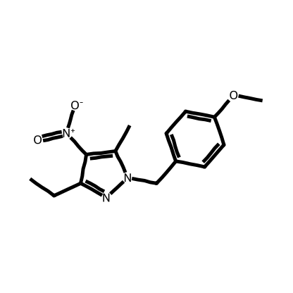 CCc1nn(Cc2ccc(OC)cc2)c(C)c1[N+](=O)[O-]